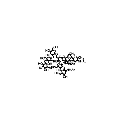 CO[C@H](OC[C@H](O)C(CO[C@H]1OC(CO)[C@@H](O)C(O)C1O[C@@H]1OC(CO)[C@@H](O[C@@H]2OC(CO)[C@H](O)C(O)C2O)C(O)C1NC(C)=O)O[C@H](CO)O[C@H]1CC(NC(C)=O)[C@H](O[C@H]2CC(NC(C)=O)[C@H](C)OC2CO)OC1CO)C(O[C@@H]1OC(CO)[C@@H](O)CC1NC(C)=O)C(O)[C@H](O)CCO